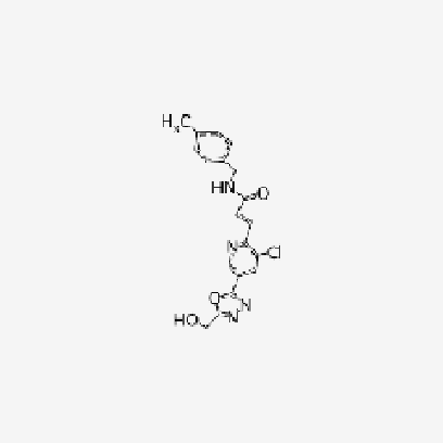 Cc1ccc(CNC(=O)/C=C/c2ncc(-c3nnc(CO)o3)cc2Cl)cc1